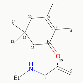 C=CCNCC.CC1=C(C)C(=O)CC(C)(C)C1